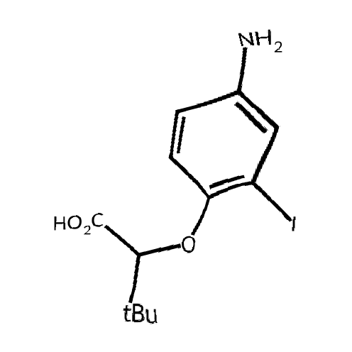 CC(C)(C)C(Oc1ccc(N)cc1I)C(=O)O